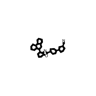 N#Cc1cccc(-c2ccc(-c3nc4c(-c5cc6ccccc6c6ccccc56)cccc4o3)cc2)c1